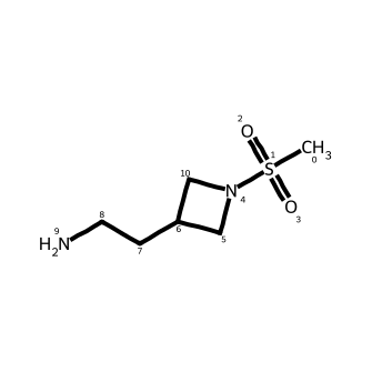 CS(=O)(=O)N1CC(CCN)C1